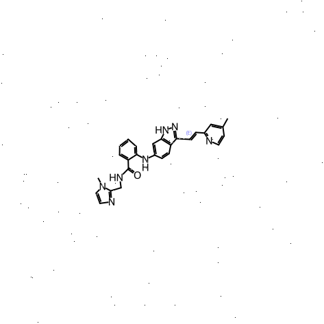 Cc1ccnc(/C=C/c2n[nH]c3cc(Nc4ccccc4C(=O)NCc4nccn4C)ccc23)c1